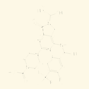 CC(=O)N1CCN(c2nc(NC(C)c3ccc(C(F)(F)F)c(F)c3)c3c(n2)C(=O)N(C(C)C)C3)CC1